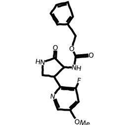 COc1cnc(C2CNC(=O)C2NC(=O)OCc2ccccc2)c(F)c1